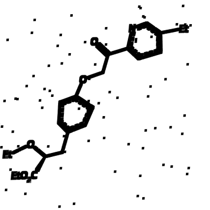 CCOC(=O)[C@H](Cc1ccc(OCC(=O)c2ccc(CC)cn2)cc1)OCC